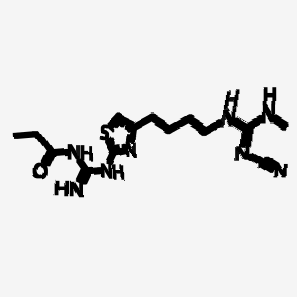 CCC(=O)NC(=N)Nc1nc(CCCCNC(=NC#N)NC)cs1